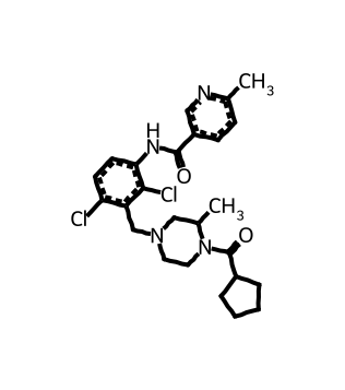 Cc1ccc(C(=O)Nc2ccc(Cl)c(CN3CCN(C(=O)C4CCCC4)C(C)C3)c2Cl)cn1